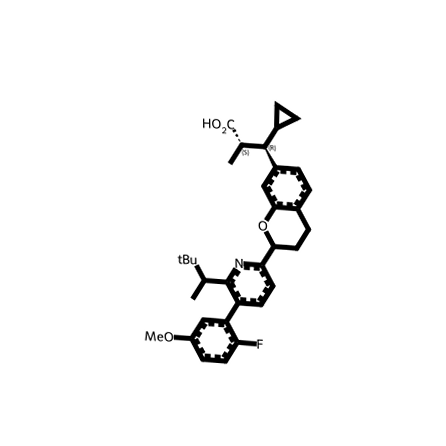 COc1ccc(F)c(-c2ccc(C3CCc4ccc([C@H](C5CC5)[C@H](C)C(=O)O)cc4O3)nc2C(C)C(C)(C)C)c1